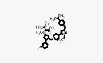 CCn1nc(Cc2ccc(C(C)C)cc2)cc1C1CCN(CC2CC(N(C)[C@@H](C(=O)O)C(C)C)CC2c2cccc(F)c2)CC1